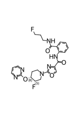 O=C(Nc1ccccc1C(=O)NCCCF)c1coc(N2CC[C@@H](Oc3ncccn3)[C@@H](F)C2)n1